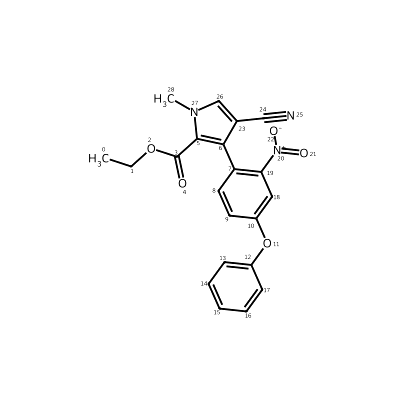 CCOC(=O)c1c(-c2ccc(Oc3ccccc3)cc2[N+](=O)[O-])c(C#N)cn1C